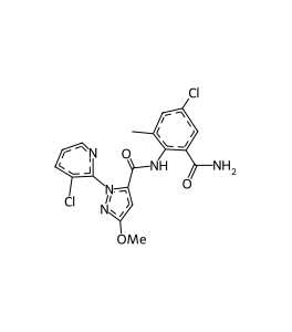 COc1cc(C(=O)Nc2c(C)cc(Cl)cc2C(N)=O)n(-c2ncccc2Cl)n1